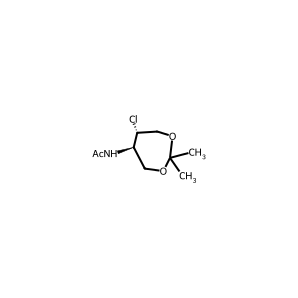 CC(=O)N[C@@H]1COC(C)(C)OC[C@H]1Cl